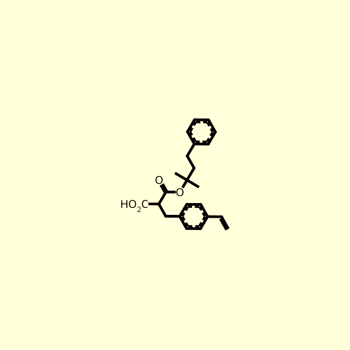 C=Cc1ccc(CC(C(=O)O)C(=O)OC(C)(C)CCc2ccccc2)cc1